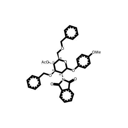 COc1ccc(OC2O[C@H](COCc3ccccc3)[C@@H](OC(C)=O)[C@H](OCc3ccccc3)[C@H]2N2C(=O)c3ccccc3C2=O)cc1